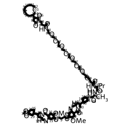 COc1cc2c(cc1OCCCOc1cc3c(cc1OC)C(=O)N1C=C(c4ccc5c(c4)OCO5)C[C@H]1C=N3)N=C[C@@H]1CC(c3ccc(NC(=O)[C@H](C)NC(=O)C(NC(=O)CCOCCOCCOCCOCCOCCOCCOCCOCCNC(=O)CCN4C(=O)CC(C5CCCCCCCCCC5)C4=O)C(C)C)cc3)=CN1C2=O